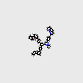 c1ccc(-c2nc(-c3ccc(-c4ccc5ccc6cccnc6c5n4)cc3)cc(-c3cc(-c4ccc(-c5cccc6c5oc5ccccc56)cc4)cc(-c4ccc(-c5cccc6c5oc5ccccc56)cc4)c3)n2)cc1